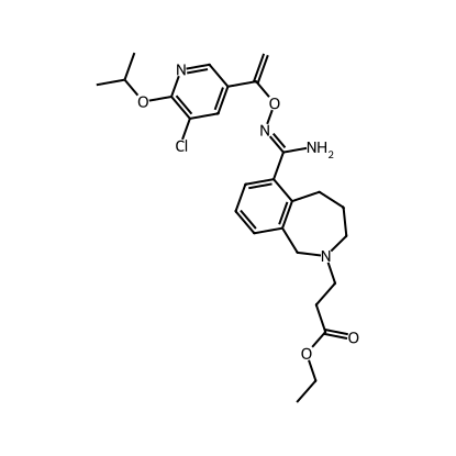 C=C(O/N=C(\N)c1cccc2c1CCCN(CCC(=O)OCC)C2)c1cnc(OC(C)C)c(Cl)c1